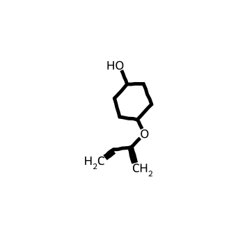 C=CC(=C)OC1CCC(O)CC1